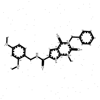 COc1ccc(CNC(=O)c2cc3c(=O)n(Cc4ccccc4)c(=O)n(C)c3s2)c(OC)c1